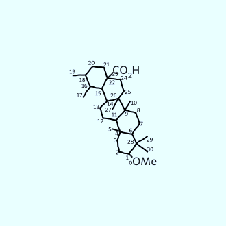 COC1CCC2(C)C(CCC3(C)C2CCC2C4C(C)C(C)CCC4(C(=O)O)CCC23C)C1(C)C